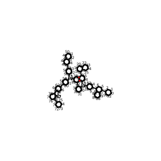 c1ccc(-c2ccc(-c3ccc(N(c4ccc(-c5cccc6ccccc56)cc4)c4ccccc4-c4cccc(N(c5ccc(-c6ccc7ccccc7c6)cc5)c5ccc(-c6ccc7c(c6)sc6c(-c8ccccc8)cccc67)cc5)c4)cc3)c3ccccc23)cc1